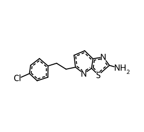 Nc1nc2ccc(CCc3ccc(Cl)cc3)nc2s1